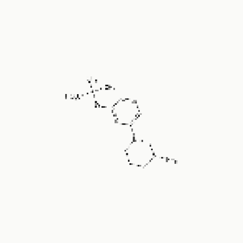 CC(C)(Oc1cccc(N2CCCC(N)C2)c1)C(=O)O